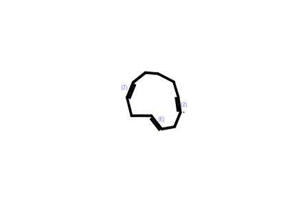 [C]1=C\CCC/C=C\C/C=C/C/1